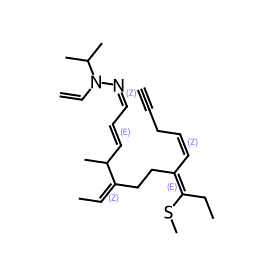 C#CC/C=C\C(CC/C(=C/C)C(C)/C=C/C=N\N(C=C)C(C)C)=C(/CC)SC